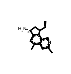 C=CC1C[C@@H](N)c2cc(C)c3cc(C)ncc3c21